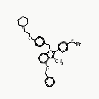 Cc1c(-c2ccc(OC(C)C)cc2)n(Cc2ccc(OCCN3CCCCC3)cc2)c2cccc(OCc3ccccc3)c12